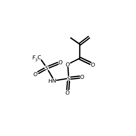 C=C(C)C(=O)OS(=O)(=O)NS(=O)(=O)C(F)(F)F